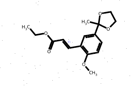 CCOC(=O)/C=C/c1cc(C2(C)OCCO2)ccc1OC